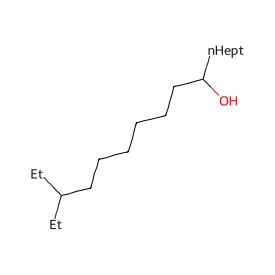 CCCCCCCC(O)CCCCCCC(CC)CC